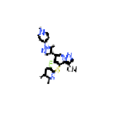 Cc1cc(F)c(Sc2cc(-c3cnn(C4CCN(C)CC4)c3C)cn3ncc(C#N)c23)nc1C